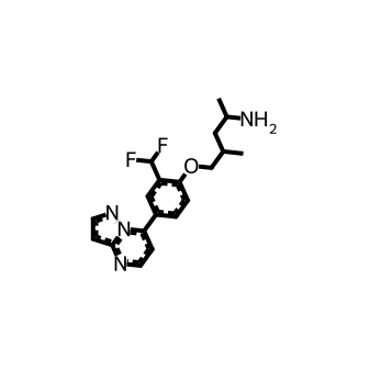 CC(N)CC(C)COc1ccc(-c2ccnc3ccnn23)cc1C(F)F